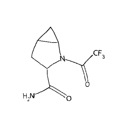 NC(=O)C1CC2CC2N1C(=O)C(F)(F)F